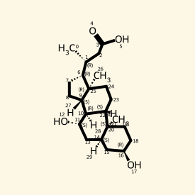 C[C@H](CC(=O)O)[C@H]1CC[C@H]2[C@@H]3[C@@H](O)C[C@@H]4C[C@H](O)CC[C@]4(C)[C@H]3CC[C@]12C